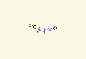 CC(C)(C)n1nc(CNCCN2CCN(c3ccccc3)CC2)cc1-c1ccc(Cl)cc1